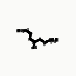 CCCCCCCCC[C@H](CC)COS(=O)(=O)O